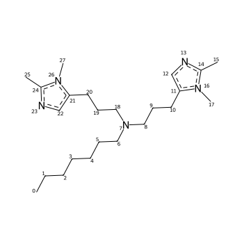 CCCCCCCN(CCCc1cnc(C)n1C)CCCc1cnc(C)n1C